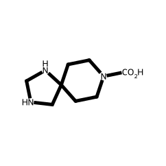 O=C(O)N1CCC2(CC1)CNCN2